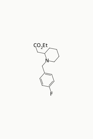 CCOC(=O)CC1CCCCN1Cc1ccc(F)cc1